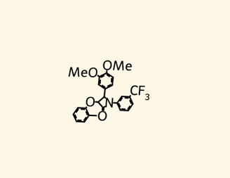 COc1ccc(C2C(Oc3ccccc3C)C(=O)N2c2cccc(C(F)(F)F)c2)cc1OC